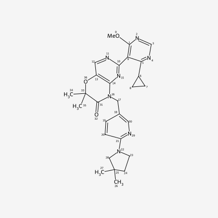 COc1ncnc(C2CC2)c1-c1ncc2c(n1)N(Cc1ccc(N3CCC(C)(C)C3)nc1)C(=O)C(C)(C)O2